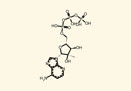 C[C@@]1(O)[C@H](O)[C@@H](COP(=O)(O)OP(=O)(O)OP(=O)(O)O)O[C@H]1n1cnc2c(N)ccnc21